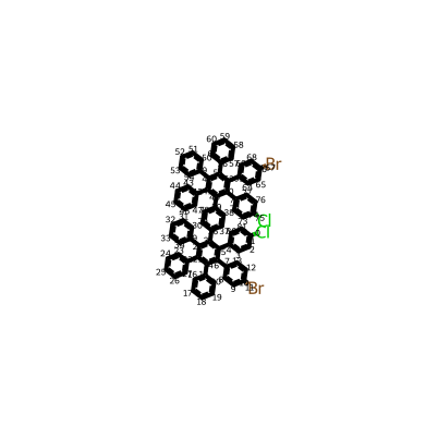 Clc1ccc(-c2c(-c3ccc(Br)cc3)c(-c3ccccc3)c(-c3ccccc3)c(-c3ccccc3)c2-c2ccc(-c3c(-c4ccccc4)c(-c4ccccc4)c(-c4ccccc4)c(-c4ccc(Br)cc4)c3-c3ccc(Cl)cc3)cc2)cc1